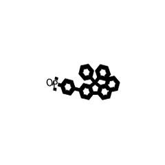 CP(C)(=O)c1ccc(-c2ccc3c(c2)C(c2ccccc2)(c2ccccc2)c2c-3ccc3ccccc23)cc1